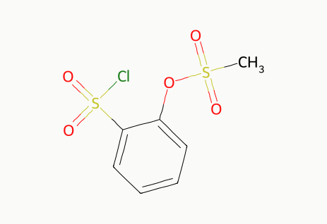 CS(=O)(=O)Oc1ccccc1S(=O)(=O)Cl